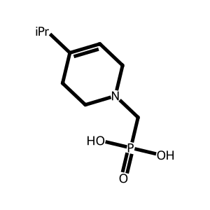 CC(C)C1=CCN(CP(=O)(O)O)CC1